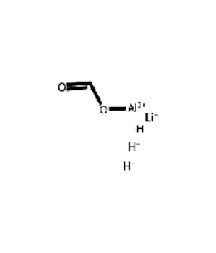 O=C[O][Al+2].[H-].[H-].[H-].[Li+]